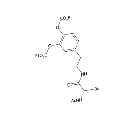 CCOC(=O)Oc1ccc(CCNC(=O)[C@@H](NC(C)=O)C(C)CC)cc1OC(=O)OCC